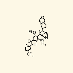 CCOc1cc(C(=O)Nc2cc(C(F)(F)F)ccn2)cc(F)c1-c1nc(C2CCC3COCCN3C2)n2ccnc(N)c12